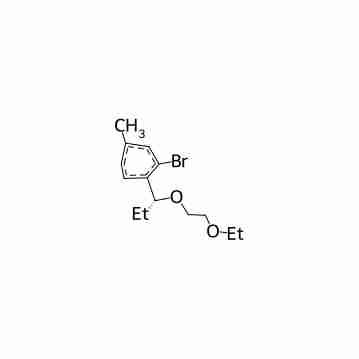 CCOCCO[C@H](CC)c1ccc(C)cc1Br